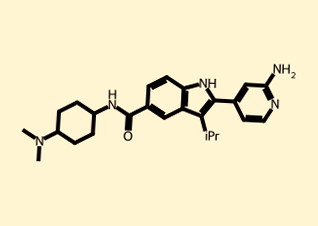 CC(C)c1c(-c2ccnc(N)c2)[nH]c2ccc(C(=O)NC3CCC(N(C)C)CC3)cc12